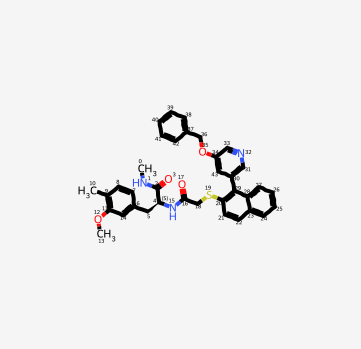 CNC(=O)[C@H](Cc1ccc(C)c(OC)c1)NC(=O)CSc1ccc2ccccc2c1-c1cncc(OCc2ccccc2)c1